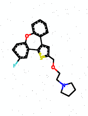 Fc1ccc2c(c1)-c1sc(COCCN3CCCC3)cc1-c1ccccc1O2